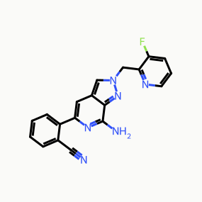 N#Cc1ccccc1-c1cc2cn(Cc3ncccc3F)nc2c(N)n1